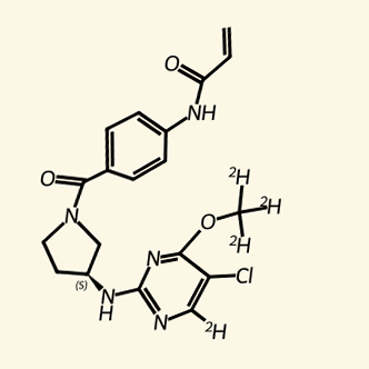 [2H]c1nc(N[C@H]2CCN(C(=O)c3ccc(NC(=O)C=C)cc3)C2)nc(OC([2H])([2H])[2H])c1Cl